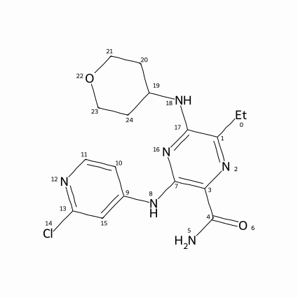 CCc1nc(C(N)=O)c(Nc2ccnc(Cl)c2)nc1NC1CCOCC1